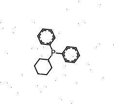 c1ccc(P([C]2CCCCC2)c2ccccc2)cc1